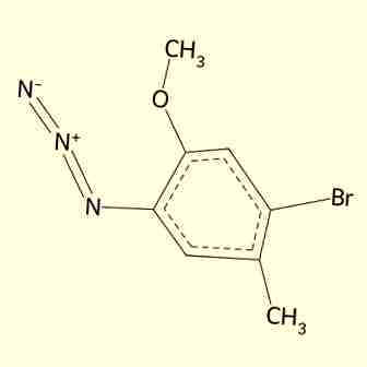 COc1cc(Br)c(C)cc1N=[N+]=[N-]